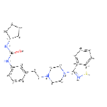 O=C(Nc1cccc(CCN2CCN(c3nsc4ccccc34)CC2)c1)NC1CCCC1